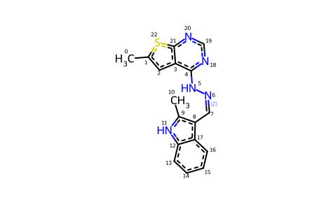 Cc1cc2c(N/N=C\c3c(C)[nH]c4ccccc34)ncnc2s1